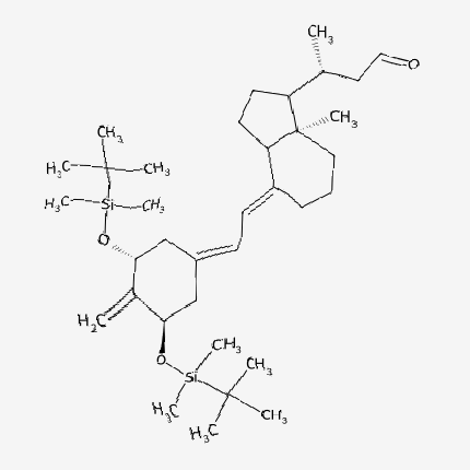 C=C1[C@H](O[Si](C)(C)C(C)(C)C)CC(=C/C=C2\CCC[C@@]3(C)C2CCC3[C@H](C)CC=O)C[C@H]1O[Si](C)(C)C(C)(C)C